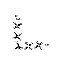 CC(N)N.O=S(=O)([O-])[O-].O=S(=O)([O-])[O-].O=S(=O)([O-])[O-].O=S(=O)([O-])[O-].[Fe+3].[Fe+3].[H+].[H+]